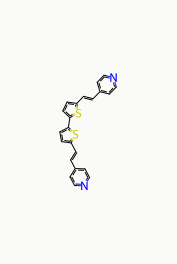 C(=Cc1ccc(-c2ccc(C=Cc3ccncc3)s2)s1)c1ccncc1